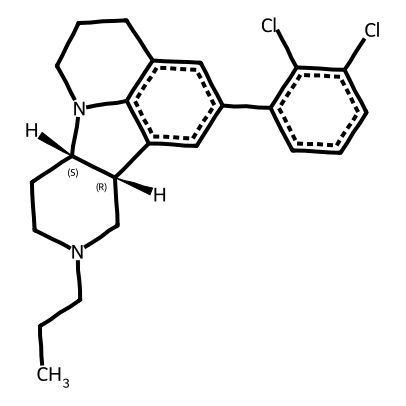 CCCN1CC[C@H]2[C@@H](C1)c1cc(-c3cccc(Cl)c3Cl)cc3c1N2CCC3